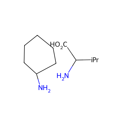 CC(C)C(N)C(=O)O.NC1CCCCC1